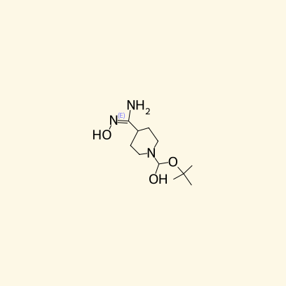 CC(C)(C)OC(O)N1CCC(/C(N)=N\O)CC1